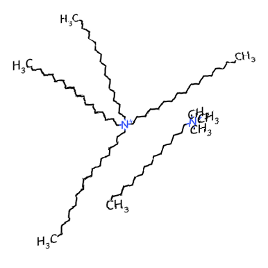 CCCCCCCCCCCCCCCCCC[N+](CCCCCCCCCCCCCCCCCC)(CCCCCCCCCCCCCCCCCC)CCCCCCCCCCCCCCCCCC.CCCCCCCCCCCCCCCC[N+](C)(C)C